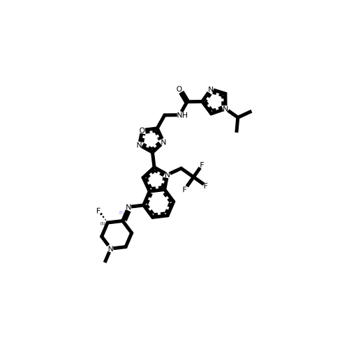 CC(C)n1cnc(C(=O)NCc2nc(-c3cc4c(/N=C5\CCN(C)C[C@@H]5F)cccc4n3CC(F)(F)F)no2)c1